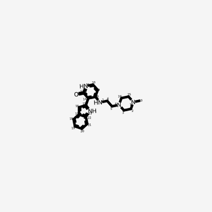 CN1CCN(CCNc2cc[nH]c(=O)c2-c2cc3ccccc3[nH]2)CC1